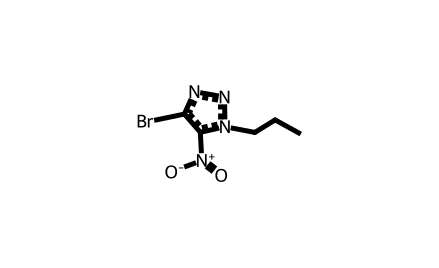 CCCn1nnc(Br)c1[N+](=O)[O-]